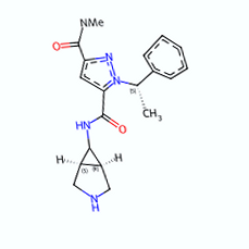 CNC(=O)c1cc(C(=O)NC2[C@H]3CNC[C@@H]23)n([C@@H](C)c2ccccc2)n1